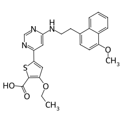 CCOc1cc(-c2cc(NCCc3ccc(OC)c4ccccc34)ncn2)sc1C(=O)O